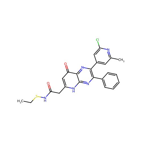 CCSNC(=O)Cc1cc(=O)c2nc(-c3cc(C)nc(Cl)c3)c(-c3ccccc3)nc2[nH]1